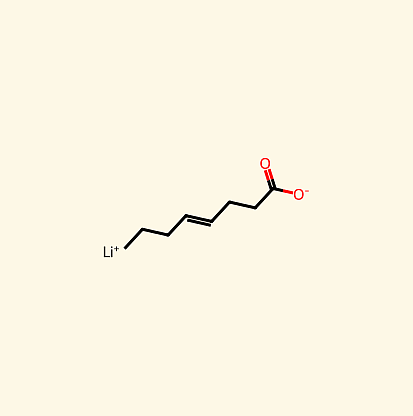 CCCC=CCCC(=O)[O-].[Li+]